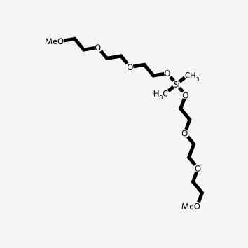 COCCOCCOCCO[Si](C)(C)OCCOCCOCCOC